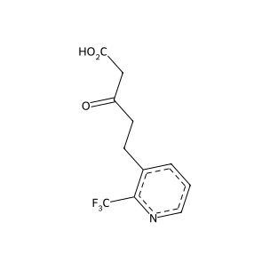 O=C(O)CC(=O)CCc1cccnc1C(F)(F)F